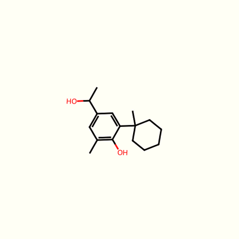 Cc1cc(C(C)O)cc(C2(C)CCCCC2)c1O